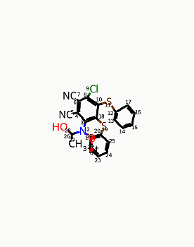 CCON(c1c(C#N)c(C#N)c(Cl)c(Sc2ccccc2)c1Sc1ccccc1)C(C)O